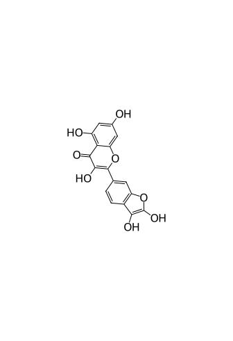 O=c1c(O)c(-c2ccc3c(O)c(O)oc3c2)oc2cc(O)cc(O)c12